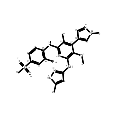 COc1c(Nc2cc(C)[nH]n2)nc(Nc2ccc(S(C)(=O)=O)cc2F)c(C)c1-c1cnn(C)c1